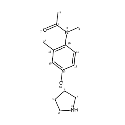 C1CCNC1.CC(=O)N(C)c1ccc(Cl)cc1C